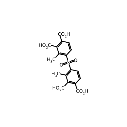 Cc1c(S(=O)(=O)c2ccc(C(=O)O)c(C(=O)O)c2C)ccc(C(=O)O)c1C(=O)O